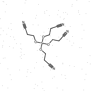 N#CCCO[Si](OCCC#N)(OCCC#N)OCCC#N